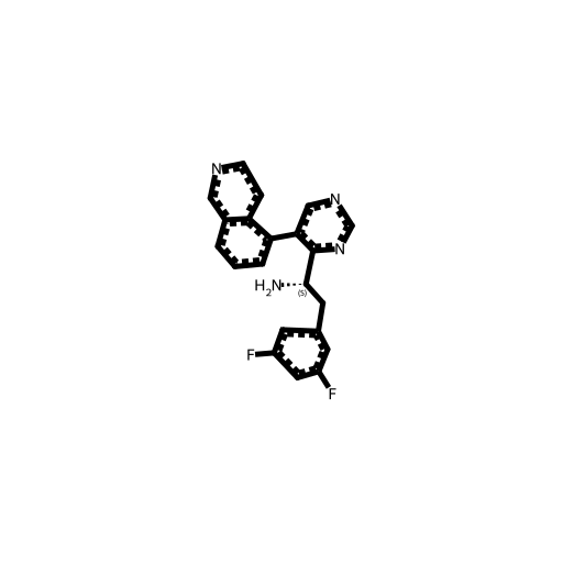 N[C@@H](Cc1cc(F)cc(F)c1)c1ncncc1-c1cccc2cnccc12